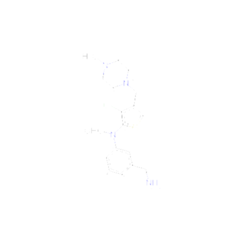 CN1CCN(Cc2csc(N(C=O)c3cccc(CN)c3)c2Cl)CC1